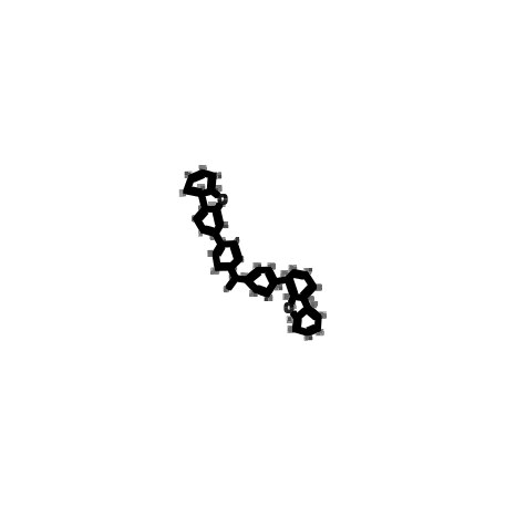 CC(c1ccc(-c2ccc3c(c2)oc2ccccc23)cc1)c1ccc(-c2cccc3c2oc2ccccc23)cc1